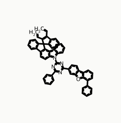 C=CC1=C(C=C)C2(c3ccccc31)c1ccccc1-c1ccc3c(c12)c1ccccc1n3-c1nc(-c2ccccc2)nc(-c2ccc3c(c2)oc2c(-c4ccccc4)cccc23)n1